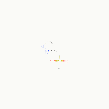 [CH2]CS(=O)(=O)Cc1csnn1